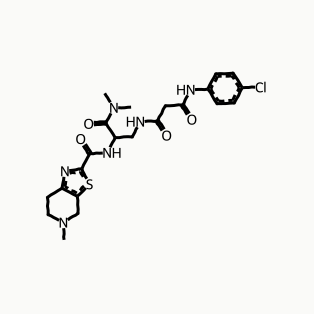 CN1CCc2nc(C(=O)NC(CNC(=O)CC(=O)Nc3ccc(Cl)cc3)C(=O)N(C)C)sc2C1